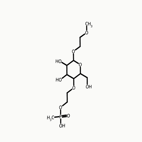 COCCOC1OC(CO)C(OCCOP(C)(=O)O)C(O)C1O